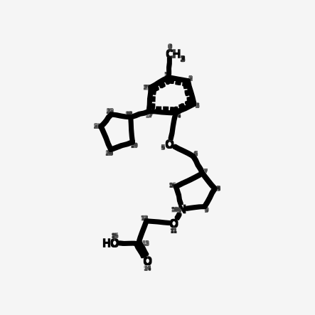 Cc1ccc(OCC2CCN(OCC(=O)O)C2)c(C2CCCC2)c1